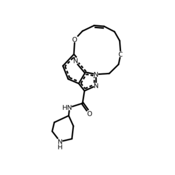 O=C(NC1CCNCC1)c1nn2c3nc(ccc13)OC/C=C\CCCCC2